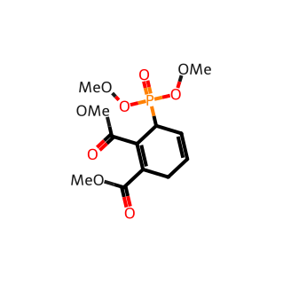 COOP(=O)(OOC)C1C=CCC(C(=O)OC)=C1C(=O)OC